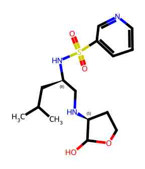 CC(C)C[C@H](CN[C@H]1CCOC1O)NS(=O)(=O)c1cccnc1